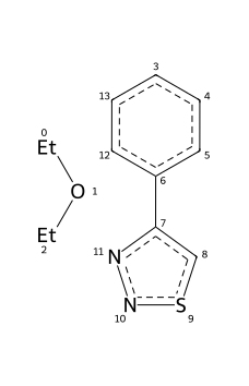 CCOCC.c1ccc(-c2csnn2)cc1